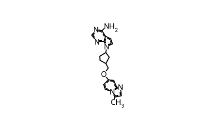 Cc1cnc2cc(OCC3CCC(n4ccc5c(N)ncnc54)C3)ccn12